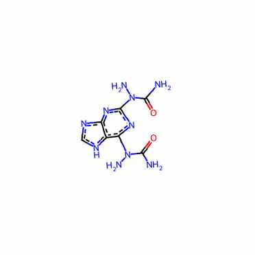 NC(=O)N(N)c1nc(N(N)C(N)=O)c2[nH]cnc2n1